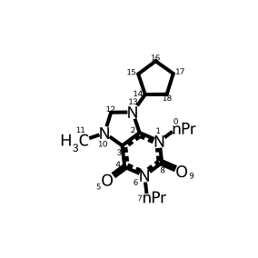 CCCn1c2c(c(=O)n(CCC)c1=O)N(C)CN2C1CCCC1